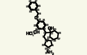 Cl.Cl.N[C@H]1CCN(CC(c2ccc(OCc3ccccc3)cc2)C2(O)CCCCC2)C1